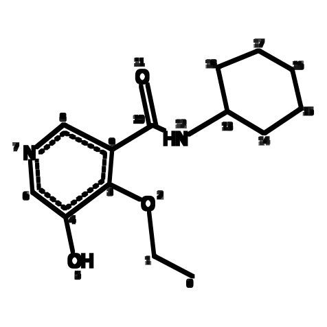 CCOc1c(O)cncc1C(=O)NC1CCCCC1